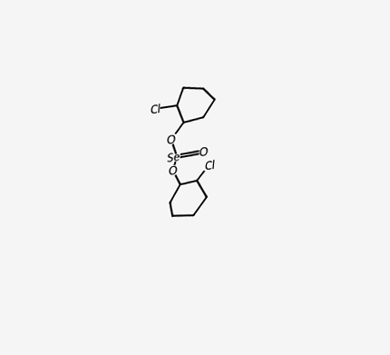 O=[Se](OC1CCCCC1Cl)OC1CCCCC1Cl